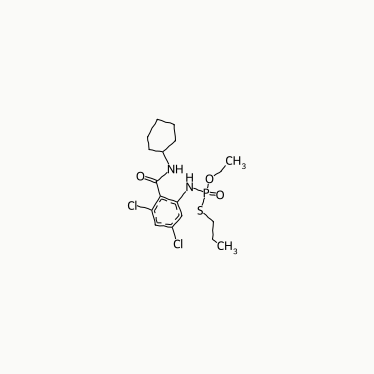 CCCSP(=O)(Nc1cc(Cl)cc(Cl)c1C(=O)NC1CCCCC1)OCC